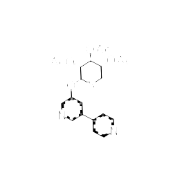 CC(=O)O[C@@H]1[C@@H](OC(C)=O)[C@H](OC(C)=O)CS[C@H]1Oc1cncc(-c2ccncc2)c1